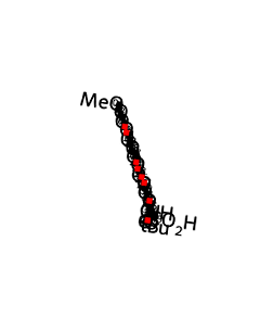 COCCOCCOCCOCCOCCOCCOCCOCCOCCOCCOCCOCCC(=O)N[C@@H](CC(=O)OC(C)(C)C)C(=O)O